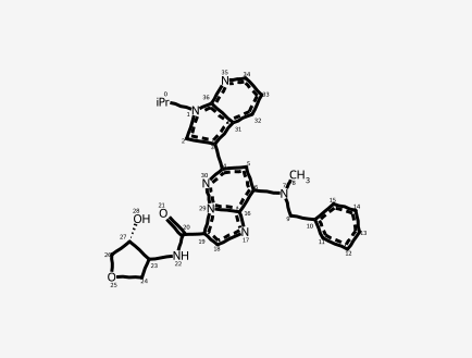 CC(C)n1cc(-c2cc(N(C)Cc3ccccc3)c3ncc(C(=O)NC4COC[C@@H]4O)n3n2)c2cccnc21